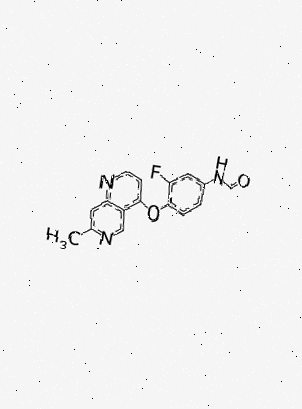 Cc1cc2nccc(Oc3ccc(NC=O)cc3F)c2cn1